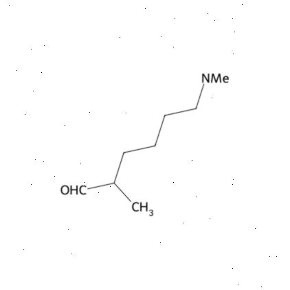 CNCCCCC(C)C=O